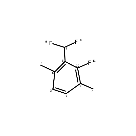 Cc1ccc(C)c(C(F)F)c1F